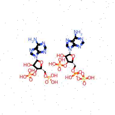 Nc1ncnc2c1ncn2[C@@H]1O[C@H](COP(=O)(O)O)[C@@H](OP(=O)(O)O)[C@H]1O.Nc1ncnc2c1ncn2[C@@H]1O[C@H](COP(=O)(O)OS(=O)(=O)O)[C@@H](OP(=O)(O)O)[C@H]1O